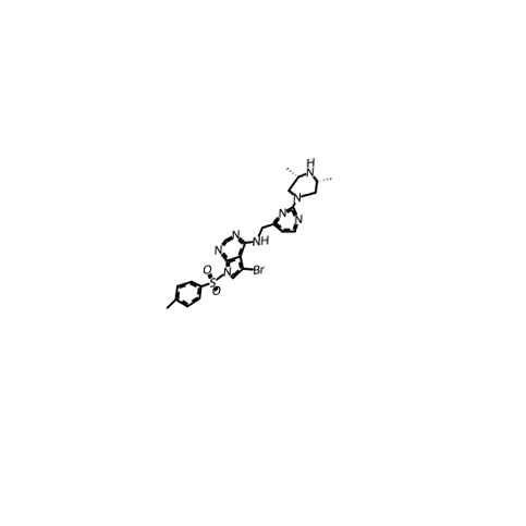 Cc1ccc(S(=O)(=O)n2cc(Br)c3c(NCc4ccnc(N5C[C@@H](C)N[C@@H](C)C5)n4)ncnc32)cc1